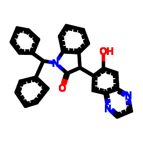 O=C1C(c2cc3nccnc3cc2O)c2ccccc2N1C(c1ccccc1)c1ccccc1